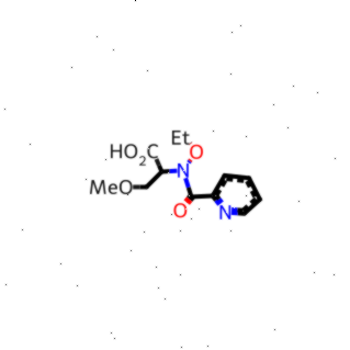 CCON(C(=O)c1ccccn1)C(COC)C(=O)O